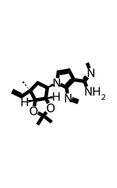 C=C[C@@]1(C)C[C@@H](n2ccc(/C(N)=N\C)c2N=C)[C@@H]2OC(C)(C)O[C@@H]21